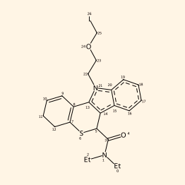 CCN(CC)C(=O)C1SC2=C(C=CCC2)c2c1c1ccccc1n2CCOCI